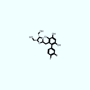 CCc1c(O)cc(O)c(-c2ccc(F)c(F)c2)c1CC1O[C@@H](CO)[C@H](CO)O1